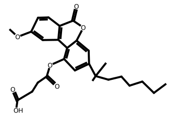 CCCCCCC(C)(C)c1cc(OC(=O)CCC(=O)O)c2c(c1)oc(=O)c1ccc(OC)cc12